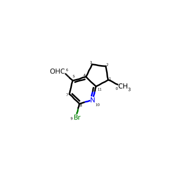 CC1CCc2c(C=O)cc(Br)nc21